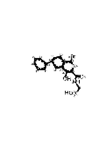 O=C(O)CNC(=O)c1nc(Br)c2ccc(-c3ccccc3)cc2c1O